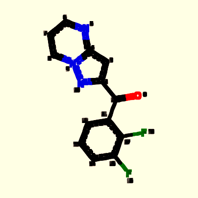 O=C(c1cc2ncccn2n1)c1cccc(F)c1F